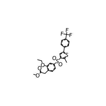 CCOc1cc(S(=O)(=O)c2cc(-c3ccc(C(F)(F)F)cc3)sc2C)ccc1CC(=O)OC